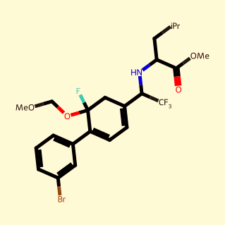 COCOC1(F)CC(C(NC(CC(C)C)C(=O)OC)C(F)(F)F)=CC=C1c1cccc(Br)c1